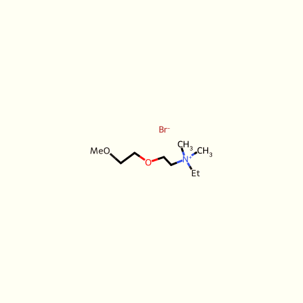 CC[N+](C)(C)CCOCCOC.[Br-]